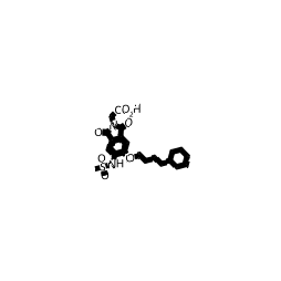 CS(=O)(=O)Nc1cc2c(cc1OCCCCC1CCCCC1)C(=O)N(CC(=O)O)C2=O